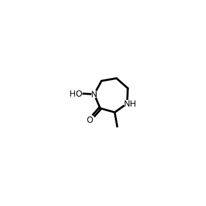 CC1NCCCN(O)C1=O